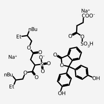 CCCCC(CC)COC(=O)CC(C(=O)OCC(CC)CCCC)S(=O)(=O)[O-].O=C([O-])CCC(=O)OS(=O)(=O)O.O=C1OC(c2ccc(O)cc2)(c2ccc(O)cc2)c2ccccc21.[Na+].[Na+]